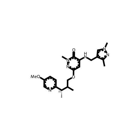 COc1ccc([C@@H](C)C(C)COc2cc(NCc3cn(C)nc3C)c(=O)n(C)n2)nc1